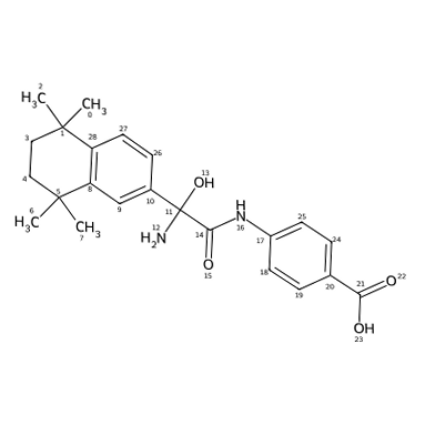 CC1(C)CCC(C)(C)c2cc(C(N)(O)C(=O)Nc3ccc(C(=O)O)cc3)ccc21